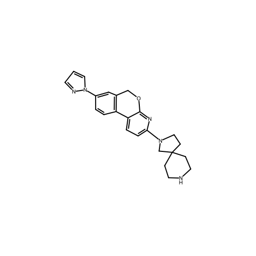 c1cnn(-c2ccc3c(c2)COc2nc(N4CCC5(CCNCC5)C4)ccc2-3)c1